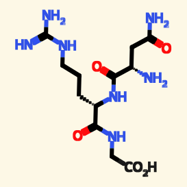 N=C(N)NCCC[C@H](NC(=O)[C@@H](N)CC(N)=O)C(=O)NCC(=O)O